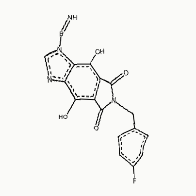 N=Bn1cnc2c(O)c3c(c(O)c21)C(=O)N(Cc1ccc(F)cc1)C3=O